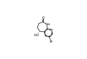 O=C1CC[C@@H](O)c2cc(Br)cnc2N1